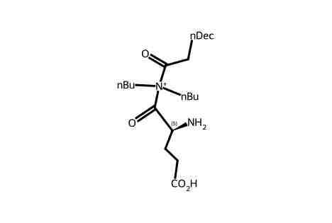 CCCCCCCCCCCC(=O)[N+](CCCC)(CCCC)C(=O)[C@@H](N)CCC(=O)O